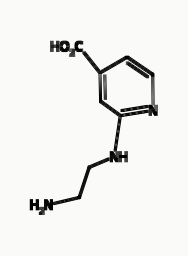 NCCNc1cc(C(=O)O)ccn1